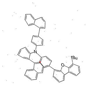 CC(C)(C)c1cccc2c1oc1c(-c3ccc(N(c4ccc(-c5cccc6ccccc56)cc4)c4ccccc4-c4cccc5ccccc45)cc3)cccc12